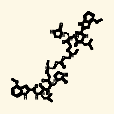 CC[C@H](COC(=O)OC[C@@H](CC)OCC(=O)[C@H](C[C@@H]1CCNC1=O)NC(=O)[C@H](CC(C)C)NC(=O)c1cc2c(OC)cccc2[nH]1)OCC(=O)[C@H](C[C@@H]1CCNC1=O)NC(=O)[C@H](CC(C)C)NC(=O)c1cc2c(OC)cccc2[nH]1